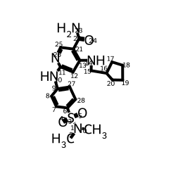 CN(C)S(=O)(=O)c1ccc(Nc2cc(NCC3CCCC3)c(C(N)=O)cn2)cc1